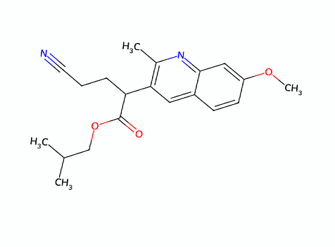 COc1ccc2cc(C(CCC#N)C(=O)OCC(C)C)c(C)nc2c1